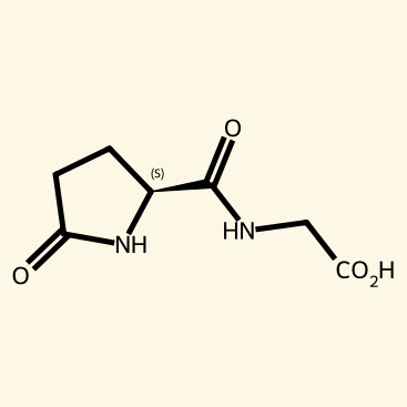 O=C(O)CNC(=O)[C@@H]1CCC(=O)N1